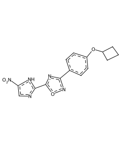 O=[N+]([O-])c1cnc(-c2nc(-c3ccc(OC4CCC4)cc3)no2)[nH]1